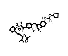 COc1cc(C(=O)NS(=O)(=O)c2ccccc2C#CC(OC(C)=O)C(C)C)ccc1Cc1cn(C)c2ccc(NC(=O)OC3CCCC3)cc12